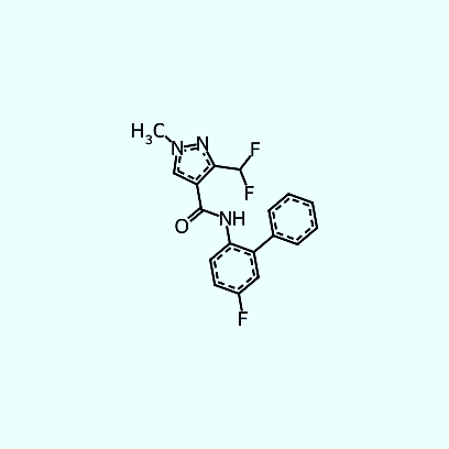 Cn1cc(C(=O)Nc2ccc(F)cc2-c2ccccc2)c(C(F)F)n1